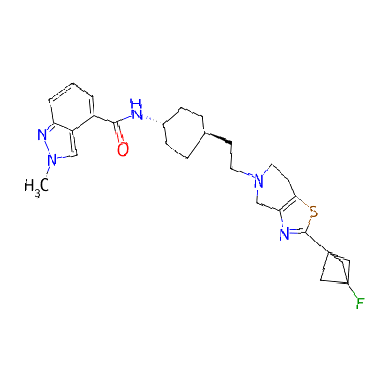 Cn1cc2c(C(=O)N[C@H]3CC[C@H](CCN4CCc5sc(C67CC(F)(C6)C7)nc5C4)CC3)cccc2n1